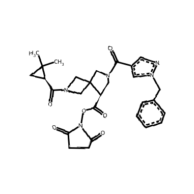 CC1(C)C[C@@H]1C(=O)N1CC2(CN(C(=O)c3cnn(Cc4ccccc4)c3)C[C@H]2C(=O)ON2C(=O)CCC2=O)C1